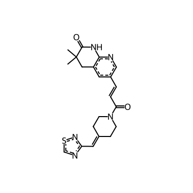 CC1(C)Cc2cc(C=CC(=O)N3CCC(=Cc4ncsn4)CC3)cnc2NC1=O